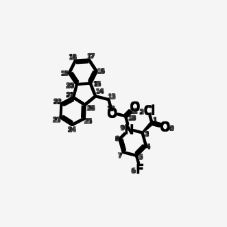 O=C(Cl)[C@H]1C=C(F)C=CN1C(=O)OCC1c2ccccc2-c2ccccc21